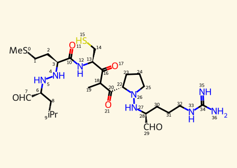 CSCC[C@H](NN[C@H](C=O)CC(C)C)C(=O)N[C@@H](CS)C(=O)C(C)C(=O)[C@@H]1CCCN1N[C@H](C=O)CCCNC(=N)N